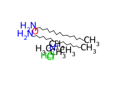 CCCCCCCCCCCCCCCC(N)=O.CCCCCCCCCCCCCCCCN.CCC[N+](C)(C)C.Cl.[Cl-]